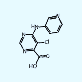 O=C(O)c1ncnc(Nc2cccnc2)c1Cl